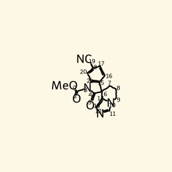 COC(=O)N1C(=O)C2(CCCn3cncc32)c2ccc(C#N)cc21